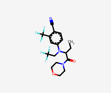 CCC(C(=O)N1CCOCC1)N(CC(F)(F)F)c1ccc(C#N)c(C(F)(F)F)c1